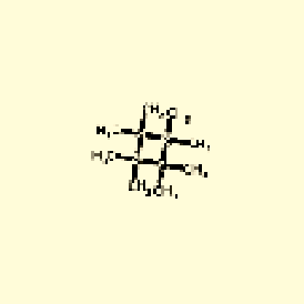 C[Si]1(C)[Si](C)(C)[Si](C)(C)[Si]1(C)C